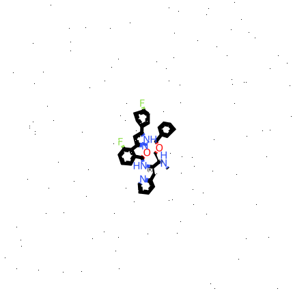 CN[C@H](COCc1ccccc1)[C@@H](Cc1ccccn1)NC(=O)c1cccc(F)c1-c1cc(-c2ccc(F)cc2)[nH]n1